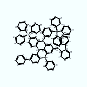 c1ccc(-c2ccc3c(c2)B2c4ccc([Si](c5ccccc5)(c5ccccc5)c5ccccc5)cc4N(c4cccc([Si](c5ccccc5)(c5ccccc5)c5ccccc5)c4)c4cc(-n5c6ccccc6c6ccccc65)cc(c42)N3c2ccccc2)cc1